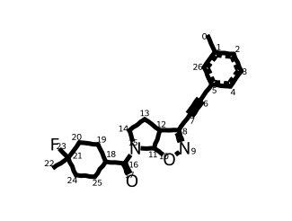 Cc1cccc(C#CC2=NOC3C2CCN3C(=O)C2CCC(C)(F)CC2)c1